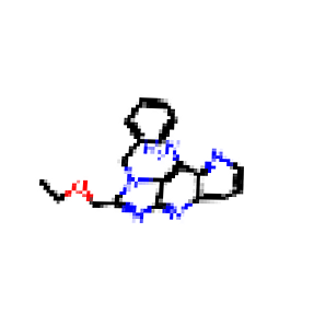 CCOCc1nc2nc3cccnc3c(N)c2n1Cc1ccccc1